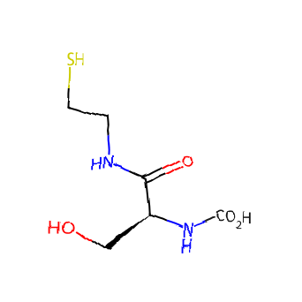 O=C(O)N[C@@H](CO)C(=O)NCCS